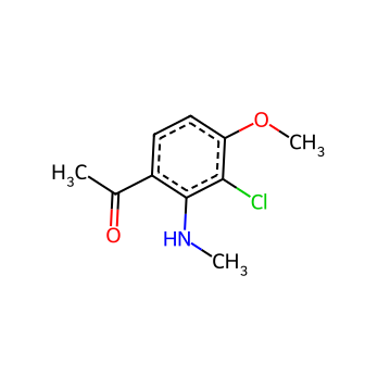 CNc1c(C(C)=O)ccc(OC)c1Cl